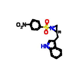 O=[N+]([O-])c1ccc(S(=O)(=O)N2C[C@H]2Cc2c[nH]c3ccccc23)cc1